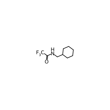 O=C(NCC1CCCCC1)C(F)(F)F